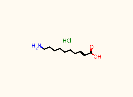 Cl.NCCCCCCCC=CC(=O)O